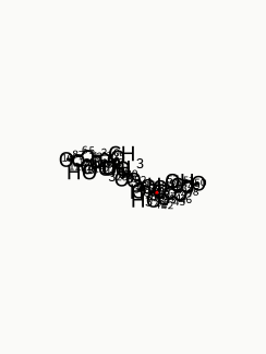 C[C@@H]1CC2C3CCC4=CC(=O)C=C[C@]4(C)[C@@]3(F)[C@@H](O)C[C@]2(C)[C@@]1(O)C(=O)COC(=O)COCC(=O)OCC(=O)[C@@]1(O)CCC2C3CCC4=CC(=O)C=C[C@]4(C)C3[C@@H](O)C[C@@]21C